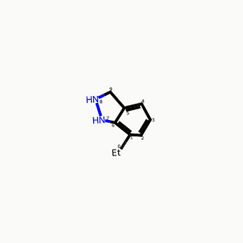 CCc1cccc2c1NNC2